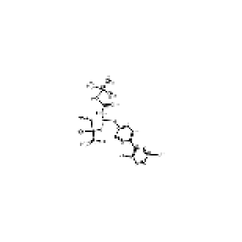 C=C(O)[C@](C)(CO)C[C@@H](Cc1ccc(-c2cc(Cl)ccc2F)cc1)NC(=O)OC(C)(C)C